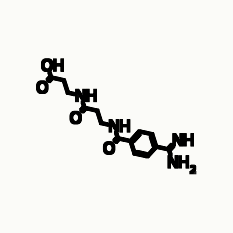 N=C(N)c1ccc(C(=O)NCCC(=O)NCCC(=O)O)cc1